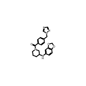 O=C(c1ccc(Cn2cncn2)cc1)N1CCCC(Nc2ccc3c(c2)OCO3)C1